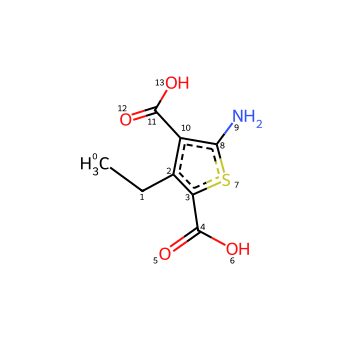 CCc1c(C(=O)O)sc(N)c1C(=O)O